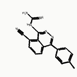 Cc1ccc(-c2nnc(NC(=N)N)c3c(C#N)cccc23)cc1